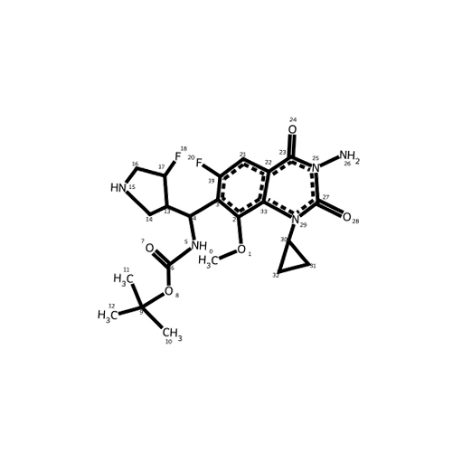 COc1c(C(NC(=O)OC(C)(C)C)C2CNCC2F)c(F)cc2c(=O)n(N)c(=O)n(C3CC3)c12